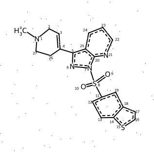 CN1CC=C(c2nn(S(=O)(=O)c3ccc4sccc4c3)c3ncccc23)CC1